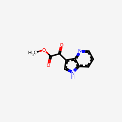 COC(=O)C(=O)c1c[nH]c2cccnc12